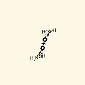 BCC(O)COc1ccc(C(C)(C)c2ccc(OCC(O)CO)cc2)cc1